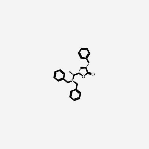 C[C@@H]([C@@H]1C[C@H](Cc2ccccc2)C(=O)O1)N(Cc1ccccc1)Cc1ccccc1